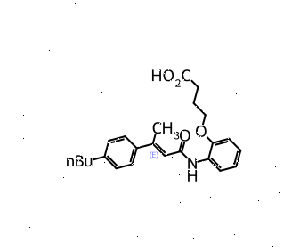 CCCCc1ccc(/C(C)=C/C(=O)Nc2ccccc2OCCCC(=O)O)cc1